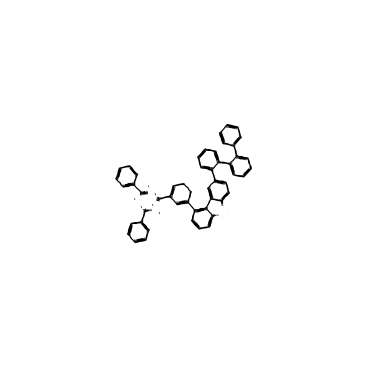 C1=C(c2nc(-c3ccccc3)nc(-c3ccccc3)n2)C=C(c2cccc3oc4ccc(-c5ccccc5-c5ccccc5-c5ccccc5)cc4c23)CC1